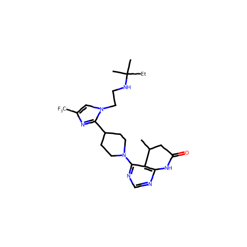 CCC(C)(C)NCCn1cc(C(F)(F)F)nc1C1CCN(c2ncnc3c2C(C)CC(=O)N3)CC1